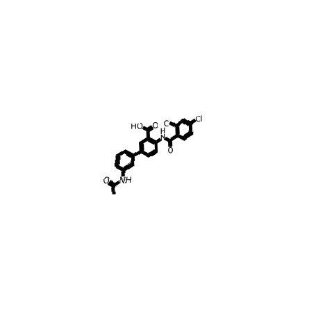 CC(=O)Nc1cccc(-c2ccc(NC(=O)c3ccc(Cl)cc3Cl)c(C(=O)O)c2)c1